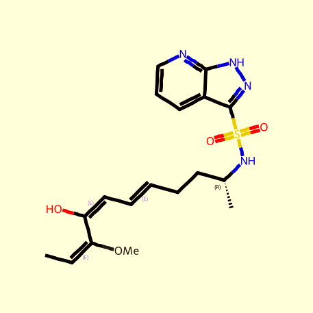 C\C=C(OC)/C(O)=C\C=C\CC[C@@H](C)NS(=O)(=O)c1n[nH]c2ncccc12